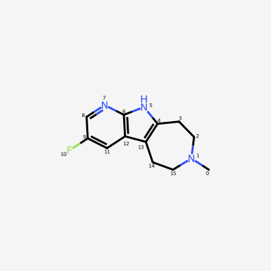 CN1CCc2[nH]c3ncc(F)cc3c2CC1